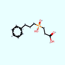 O=C(O)CCP(=O)(O)CCCc1ccccc1